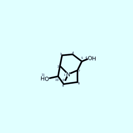 CN1C2CCC(O)C1CCC2O